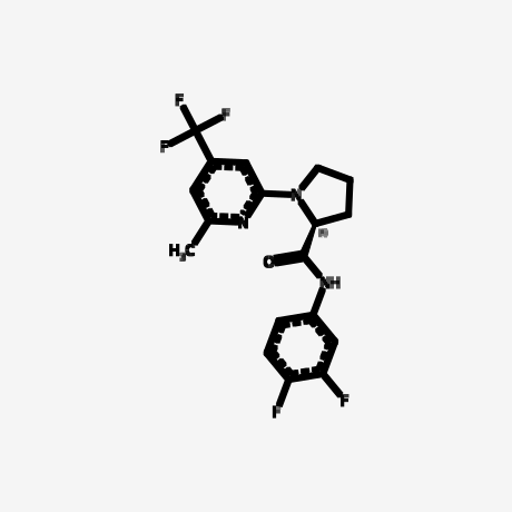 Cc1cc(C(F)(F)F)cc(N2CCC[C@H]2C(=O)Nc2ccc(F)c(F)c2)n1